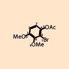 COc1ccc(OC(C)=O)c(Br)c1OC